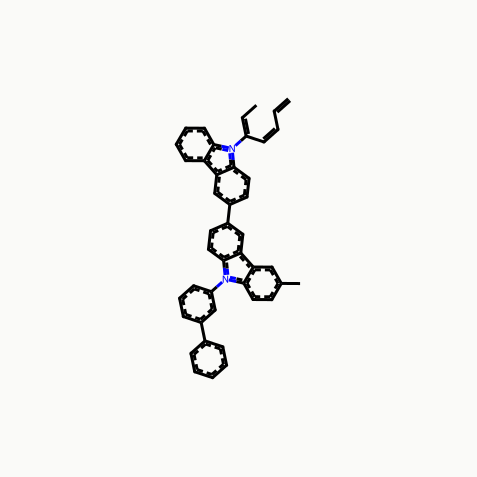 C=C/C=C\C(=C/C)n1c2ccccc2c2cc(-c3ccc4c(c3)c3cc(C)ccc3n4-c3cccc(-c4ccccc4)c3)ccc21